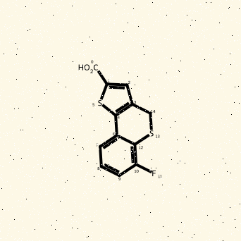 O=C(O)c1cc2c(s1)-c1cccc(F)c1SC2